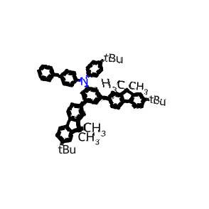 CC(C)(C)c1ccc(N(c2ccc(-c3ccccc3)cc2)c2cc(-c3ccc4c(c3)C(C)(C)c3cc(C(C)(C)C)ccc3-4)cc(-c3ccc4c(c3)C(C)(C)c3cc(C(C)(C)C)ccc3-4)c2)cc1